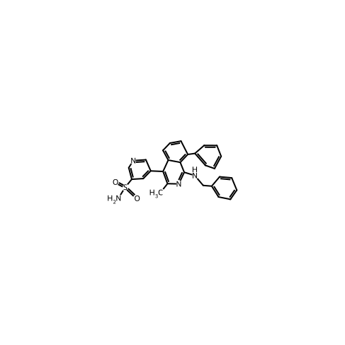 Cc1nc(NCc2ccccc2)c2c(-c3ccccc3)cccc2c1-c1cncc(S(N)(=O)=O)c1